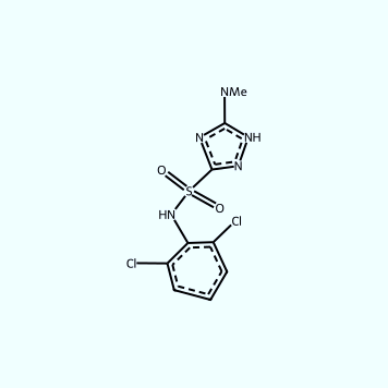 CNc1nc(S(=O)(=O)Nc2c(Cl)cccc2Cl)n[nH]1